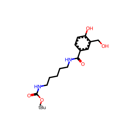 CC(C)(C)OC(=O)NCCCCCNC(=O)c1ccc(O)c(CO)c1